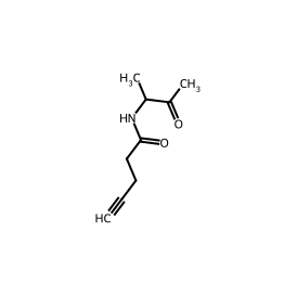 C#CCCC(=O)NC(C)C(C)=O